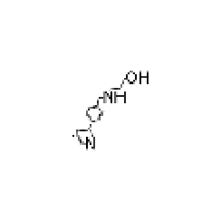 OCCCNCc1ccc(-c2c[c]cnc2)cc1